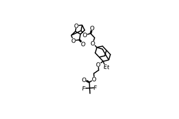 CCC1(OCCOC(=O)C(C)(F)F)C2CC3CC1CC(OCC(=O)OC1C4CC5C(=O)OC1C5O4)(C3)C2